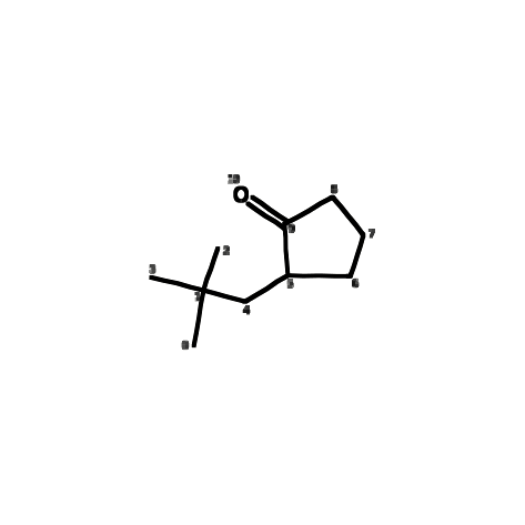 CC(C)(C)CC1CCCC1=O